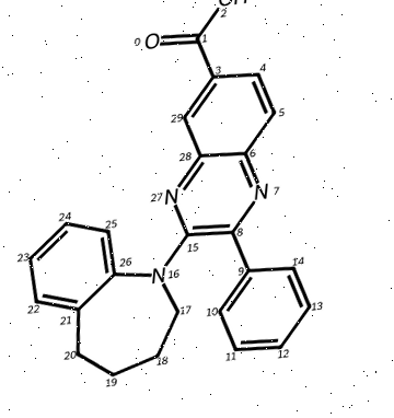 O=C(O)c1ccc2nc(-c3ccccc3)c(N3CCCCc4ccccc43)nc2c1